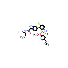 CCc1cnc(OC)c(S(=O)(=O)Nc2ccc(F)c(-c3ccc4c(C(=O)NC(C)CC)n[nH]c4c3F)c2F)c1